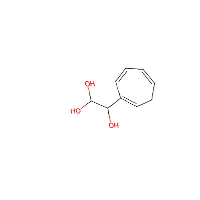 OC(O)C(O)C1=CCC=CC=C1